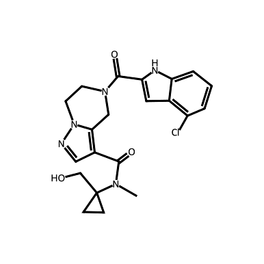 CN(C(=O)c1cnn2c1CN(C(=O)c1cc3c(Cl)cccc3[nH]1)CC2)C1(CO)CC1